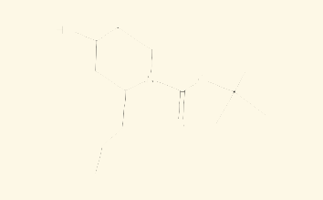 CCCC1CC(O)CCN1C(=O)OC(C)(C)C